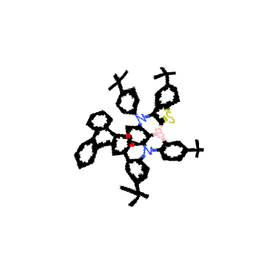 CC(C)(C)c1ccc(N2c3cccc4c3B(c3cc(C(C)(C)C)ccc3N4c3ccc(C(C)(C)C)cc3-c3ccc4c5ccccc5c5ccccc5c4c3)c3sc4ccc(C(C)(C)C)cc4c32)cc1